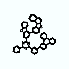 c1ccc(-c2nc(-c3cccc(-c4ccc5c6ccccc6c6ccccc6c5c4)c3)nc(-c3cc(-c4ccc5sc6ccc7ccccc7c6c5c4)c4c(c3)oc3ccccc34)n2)cc1